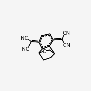 N#CC(C#N)=c1ccc(=C(C#N)C#N)c2c1C1CCC2CC1